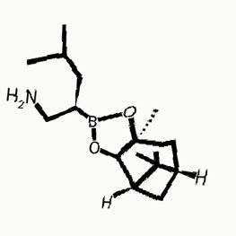 CC(C)C[C@H](CN)B1OC2[C@H]3C[C@@H](C[C@]2(C)O1)C3(C)C